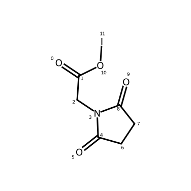 O=C(CN1C(=O)CCC1=O)OI